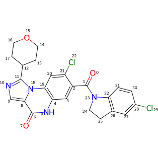 O=C(c1cc2[nH]c(=O)c3cnc(C4CCOCC4)n3c2cc1Cl)N1CCc2cc(Cl)ccc21